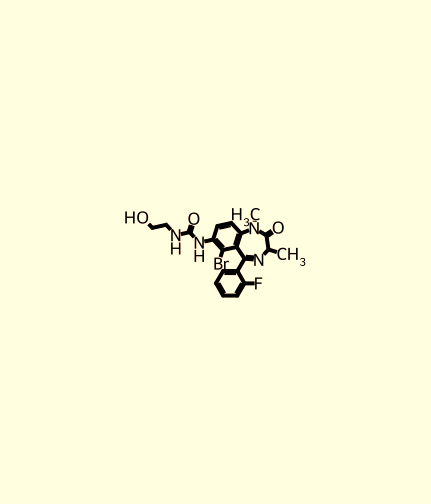 CC1N=C(c2ccccc2F)c2c(ccc(NC(=O)NCCO)c2Br)N(C)C1=O